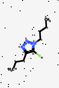 CCCCn1nnc(CCC)c1F